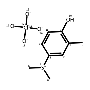 Cc1cc([S+](C)C)ccc1O.[O-][Cl+3]([O-])([O-])[O-]